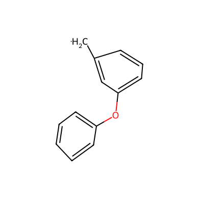 [CH2]c1cccc(Oc2ccccc2)c1